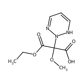 CCOC(=O)C(OC)(C(=O)O)N1N=CC=CN1